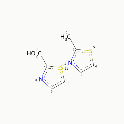 Cc1nccs1.O=C(O)c1nccs1